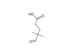 CC(C)([C]=O)CCC(=O)O